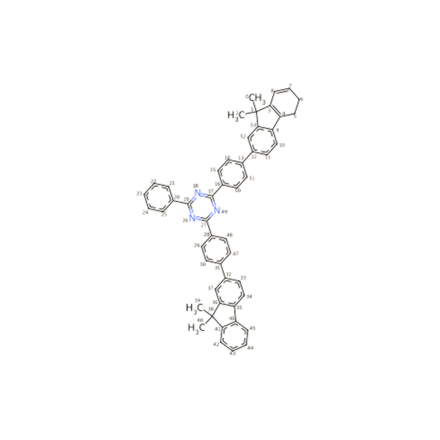 CC1(C)C2=C(CCC=C2)c2ccc(-c3ccc(-c4nc(-c5ccccc5)nc(-c5ccc(-c6ccc7c(c6)C(C)(C)c6ccccc6-7)cc5)n4)cc3)cc21